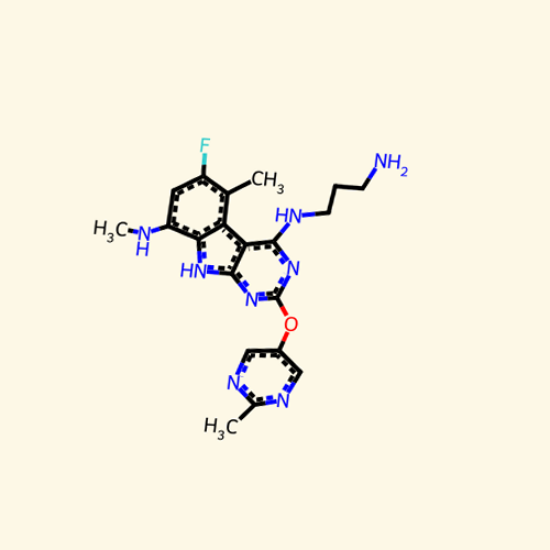 CNc1cc(F)c(C)c2c1[nH]c1nc(Oc3cnc(C)nc3)nc(NCCCN)c12